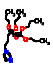 CCCO[SiH](OCCC)O[Si](CCCn1ccnc1)(OCCC)OCCC